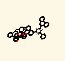 Cc1ccccc1-c1ccccc1C12CCCCC34CC(CC5CC(C1)c1ccccc1-c1c(-c6ccc(-c7nc(-c8ccccc8)nc(-c8cc9ccccc9c9ccccc89)n7)cc6)cccc1C523)c1ccccc1-c1ccccc14